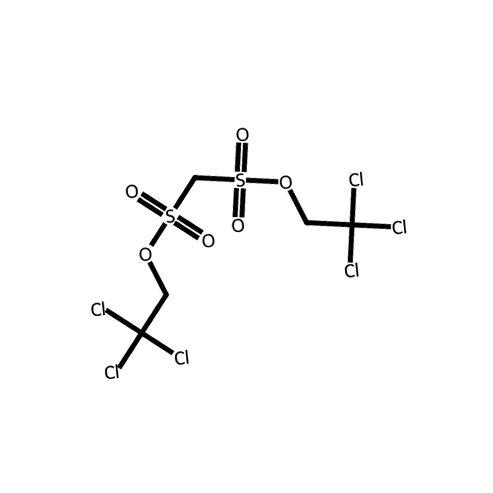 O=S(=O)(CS(=O)(=O)OCC(Cl)(Cl)Cl)OCC(Cl)(Cl)Cl